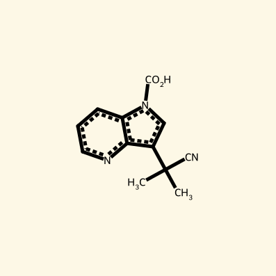 CC(C)(C#N)c1cn(C(=O)O)c2cccnc12